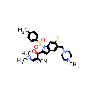 Cc1ccc(S(=O)(=O)n2c(C(=O)/C(C#N)=C\N(C)C)cc3cc(CN4CCN(C)CC4)c(F)cc32)cc1